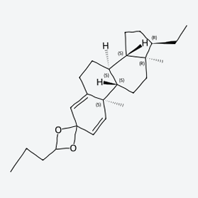 CCCC1OC2(C=C[C@@]3(C)C(=C2)CC[C@H]2[C@@H]4CC[C@@H](CC)[C@@]4(C)CC[C@@H]23)O1